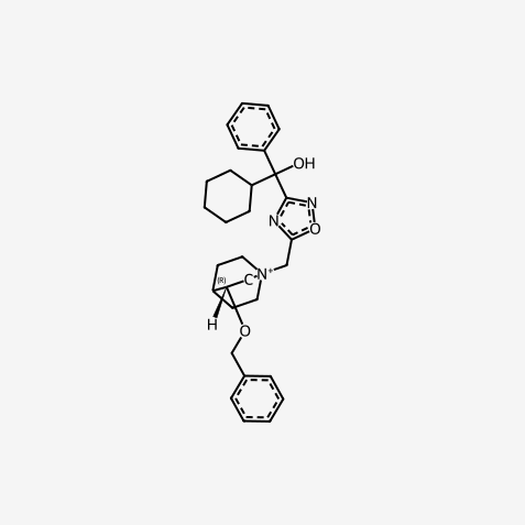 OC(c1ccccc1)(c1noc(C[N+]23CCC(CC2)[C@@H](OCc2ccccc2)C3)n1)C1CCCCC1